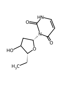 CC[C@H]1O[C@@H](n2c(=O)cc[nH]c2=O)CC1O